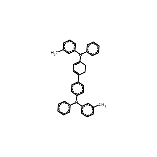 Cc1cccc(N(C2=CC=C(c3ccc(N(c4ccccc4)c4cccc(C)c4)cc3)CC2)c2ccccc2)c1